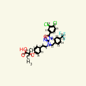 CC(C)(Oc1ccc(CCN(Cc2ccc(C(F)(F)F)cc2)c2noc(-c3ccc(Cl)c(Cl)c3)n2)cc1)C(=O)O